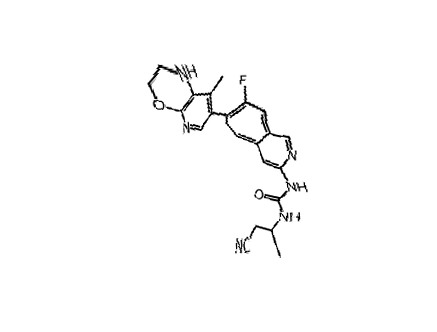 Cc1c(-c2cc3cc(NC(=O)NC(C)CC#N)ncc3cc2F)cnc2c1NCCO2